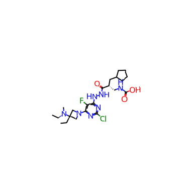 CCN(C)C1(CC)CN(c2nc(Cl)nc(NNC(=O)[C@@H](CNC(=O)O)CC3CCCC3)c2F)C1